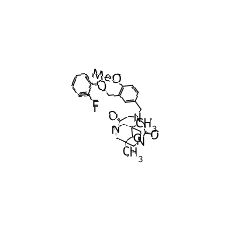 COc1ccc(CN2CC(=O)N3CC4(C)CN(CC(C)(C3)C4=O)C(=O)C2)cc1COc1ccccc1F